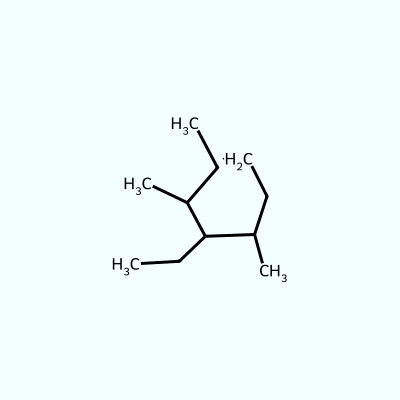 [CH2]CC(C)C(CC)C(C)CC